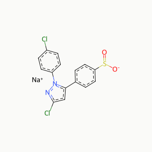 O=S([O-])c1ccc(-c2cc(Cl)nn2-c2ccc(Cl)cc2)cc1.[Na+]